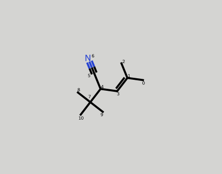 CC(C)=CC(C#N)C(C)(C)C